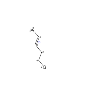 CC(C)/C=C/CCCl